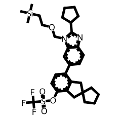 C[Si](C)(C)CCOCn1c(C2CCCC2)nc2ccc(-c3ccc(OS(=O)(=O)C(F)(F)F)c4c3CC3(CCCC3)C4)cc21